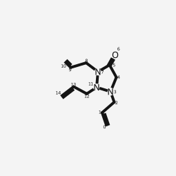 C=CCN1CC(=O)N(CC=C)N1CC=C